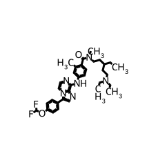 CCC(CCN(CC)CC)CCN(C)C(=O)c1ccc(Nc2nccn3c(-c4ccc(OC(F)F)cc4)cnc23)cc1C